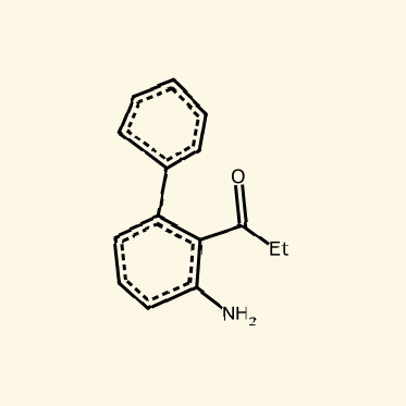 CCC(=O)c1c(N)cccc1-c1ccccc1